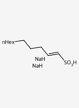 CCCCCCCCCC=CS(=O)(=O)O.[NaH].[NaH]